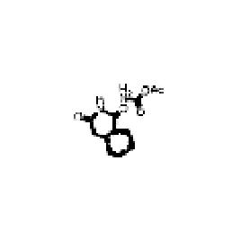 CC(=O)OC(N)=O.O=C1Cc2ccccc2C(=O)N1